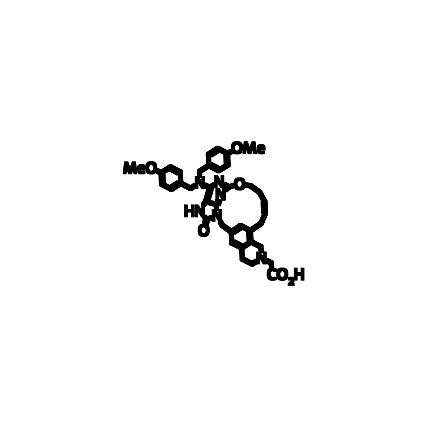 COc1ccc(CN(Cc2ccc(OC)cc2)c2nc3nc4c2[nH]c(=O)n4Cc2cc(c4c(c2)CCN(CC(=O)O)C4)CC=CCCO3)cc1